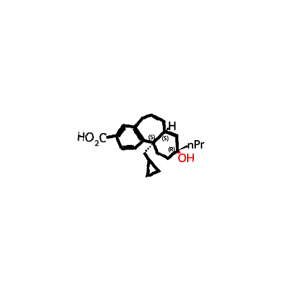 CCC[C@@]1(O)CC[C@@]2(CC3CC3)c3ccc(C(=O)O)cc3CCC[C@H]2C1